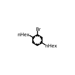 CCCCCCc1ccc(CCCCCC)c(Br)c1